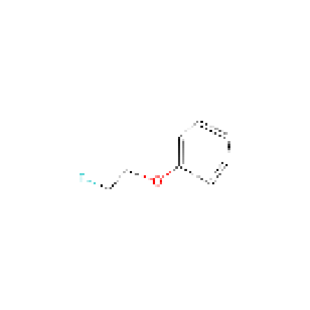 FCCOc1ccccc1